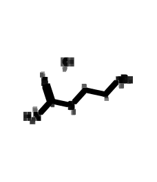 CCCCCCSC(N)=S.[KH]